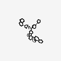 c1ccc(-c2ccc(N(c3ccc(-c4cccc5ccccc45)cc3)c3ccc4c(c3)oc3ccc5oc6c7ccccc7ccc6c5c34)cc2)cc1